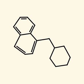 c1ccc2c(CC3CCCCC3)cccc2c1